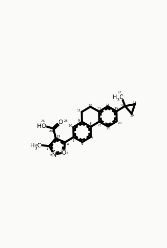 Cc1noc(-c2ccc3c(c2)CCc2cc(C4(C)CC4)ccc2-3)c1C(=O)O